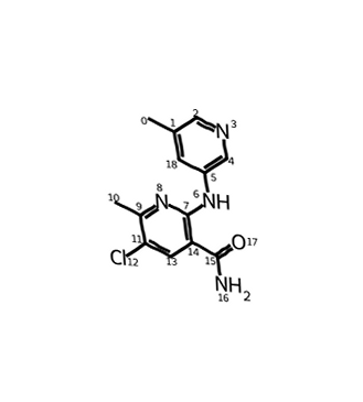 Cc1cncc(Nc2nc(C)c(Cl)cc2C(N)=O)c1